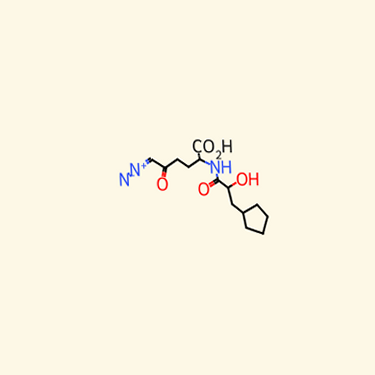 [N-]=[N+]=CC(=O)CCC(NC(=O)C(O)CC1CCCC1)C(=O)O